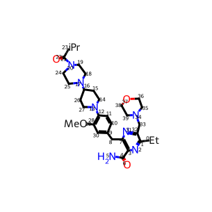 CCc1nc(C(N)=O)c(Cc2ccc(N3CCC(N4CCN(C(=O)C(C)C)CC4)CC3)c(OC)c2)nc1CN1CCOCC1